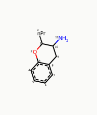 CCCC1Oc2ccccc2CC1N